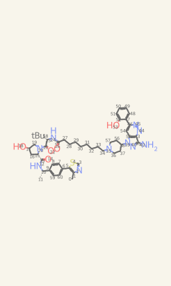 Cc1ncsc1-c1ccc([C@H](C)NC(=O)[C@@H]2C[C@@H](O)CN2C(=O)[C@@H](NC(=O)CCCCCCCCN2CCC(n3nc(N)c4nnc(-c5ccccc5O)cc43)CC2)C(C)(C)C)cc1